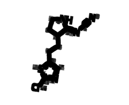 N#CN=C1NCCC1CCc1cnc(Cl)s1